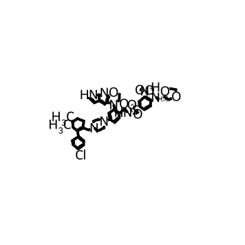 CC1(C)CCC(CN2CCN(c3ccc(C(=O)NS(=O)(=O)c4ccc(NC[C@H]5COCCO5)c([N+](=O)[O-])c4)c(N4CCOc5nc6[nH]ccc6cc54)c3)CC2)=C(c2ccc(Cl)cc2)C1